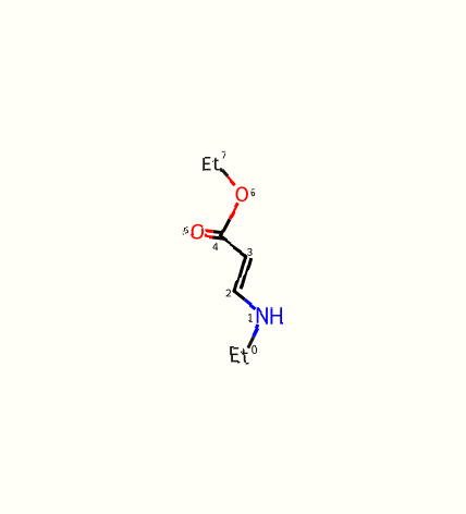 CCN/C=C/C(=O)OCC